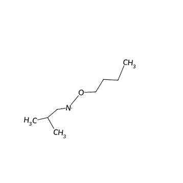 CCCCO[N]CC(C)C